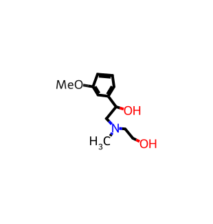 COc1cccc(C(O)CN(C)CCO)c1